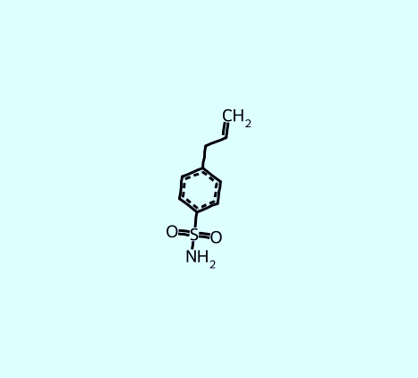 C=CCc1ccc(S(N)(=O)=O)cc1